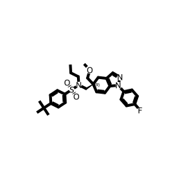 CCCN(C[C@]1(COC)C=Cc2c(cnn2-c2ccc(F)cc2)C1)S(=O)(=O)c1ccc(C(C)(C)C)cc1